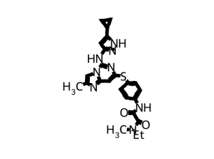 CCN(C)C(=O)C(=O)Nc1ccc(Sc2cc3nc(C)cn3c(Nc3cc(C4CC4)[nH]n3)n2)cc1